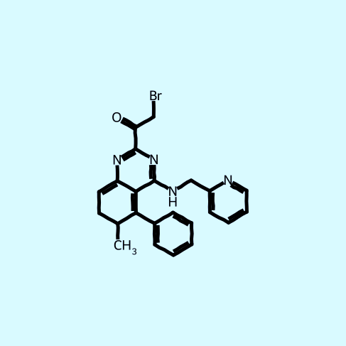 CC1CC=c2nc(C(=O)CBr)nc(NCc3ccccn3)c2=C1c1ccccc1